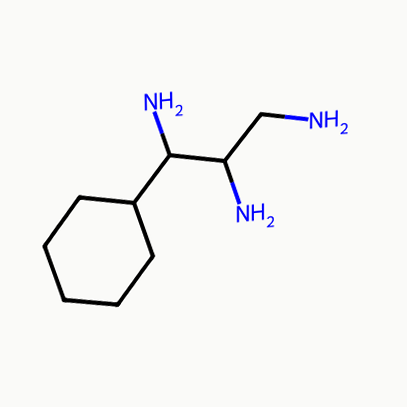 NCC(N)C(N)C1CCCCC1